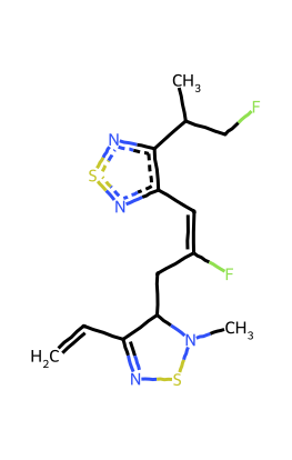 C=CC1=NSN(C)C1C/C(F)=C\c1nsnc1C(C)CF